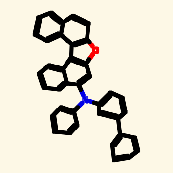 c1ccc(-c2cccc(N(c3ccccc3)c3cc4oc5ccc6ccccc6c5c4c4ccccc34)c2)cc1